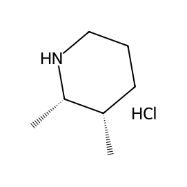 C[C@@H]1NCCC[C@@H]1C.Cl